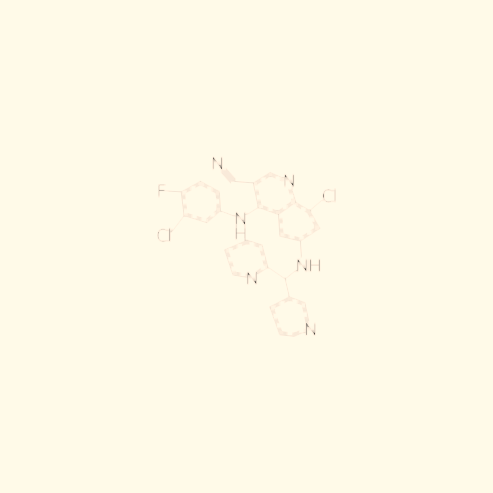 N#Cc1cnc2c(Cl)cc(NC(c3cccnc3)c3ccccn3)cc2c1Nc1ccc(F)c(Cl)c1